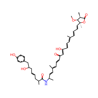 CO[C@H]1[C@@H](C)C(=O)O[C@@]1(C)/C=C/C=C/C(C)=C/C=C/C(O)=C/C(=O)/C=C/C=C(C)/C=C/C(C)NC(=O)C(C)C/C=C/CC(O)Cc1ccc(O)cc1